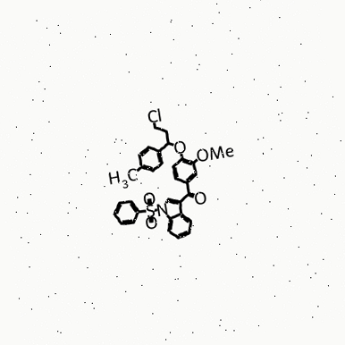 COc1cc(C(=O)c2cn(S(=O)(=O)c3ccccc3)c3ccccc23)ccc1OC(CCCl)c1ccc(C)cc1